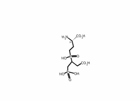 N[C@@H](CCP(=O)(O)C(CC(=O)O)CP(=O)(O)O)C(=O)O